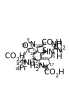 CC(C)C[C@H](N)C(=O)O.Cc1cnco1.N=C(N)NCCC[C@H](N)C(=O)O.O=C(O)c1cc2ccccc2s1